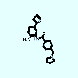 Nc1ccc(-c2cccs2)cc1NC(=O)c1ccc(CN2CCCC2)cc1